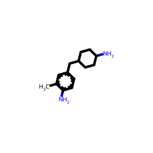 Cc1cc(CC2CCC(N)CC2)ccc1N